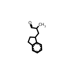 CC(C=O)CC1CCc2ccccc21